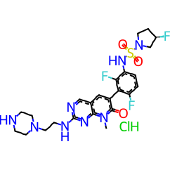 Cl.Cn1c(=O)c(-c2c(F)ccc(NS(=O)(=O)N3CC[C@@H](F)C3)c2F)cc2cnc(NCCN3CCNCC3)nc21